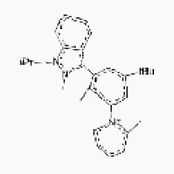 Cc1c(-c2c3ccccc3n(C(C)C)[n+]2C)cc(C(C)(C)C)cc1-[n+]1ccccc1C